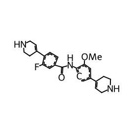 COc1cc(C2=CCNCC2)ccc1NC(=O)c1ccc(C2=CCNCC2)c(F)c1